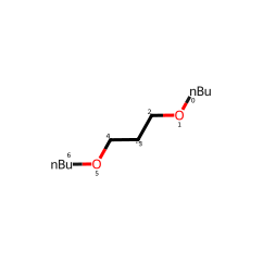 CCCCOC[C]COCCCC